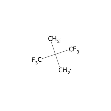 [CH2]C([CH2])(C(F)(F)F)C(F)(F)F